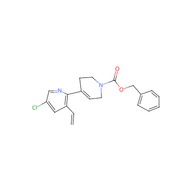 C=Cc1cc(Cl)cnc1C1=CCN(C(=O)OCc2ccccc2)CC1